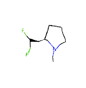 CN1CCC[C@@H]1C(F)F